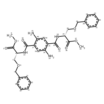 COC(=O)[C@@H](COCc1ccccc1)NC(=O)c1nc(N)c(C(=O)N[C@H](COCc2ccccc2)C(=O)OC)nc1N